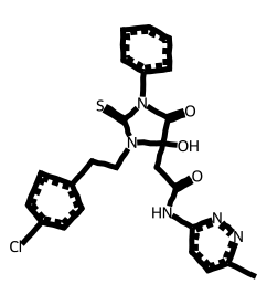 Cc1ccc(NC(=O)CC2(O)C(=O)N(c3ccccc3)C(=S)N2CCc2ccc(Cl)cc2)nn1